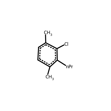 CCCc1c(C)ccc(C)c1Cl